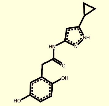 O=C(Cc1cc(O)ccc1O)Nc1cc(C2CC2)[nH]n1